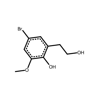 COc1cc(Br)cc(CCO)c1O